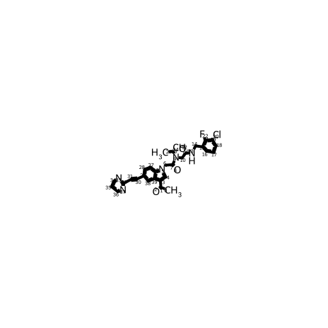 CC(=O)c1cn(CC(=O)N(CC(=O)NCc2cccc(Cl)c2F)C(C)C)c2ccc(C#Cc3ncccn3)cc12